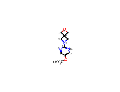 O=C(O)Oc1cnc(N2CC3(COC3)C2)nc1